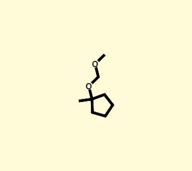 COCOC1(C)CCCC1